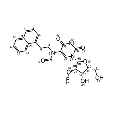 O=CN(CCc1cccc2ccccc12)c1cn([C@@H]2O[C@H](CO)[C@H](O)[C@H]2OF)c(=O)[nH]c1=O